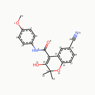 COc1ccc(NC(=O)C2=C(O)C(C)(C)Oc3ccc(C#N)cc32)cc1